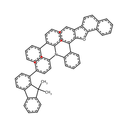 CC1(C)c2ccccc2-c2cccc(-c3ccc(N(c4ccccc4-c4ccccc4)c4ccccc4-c4cccc5c4oc4c6ccccc6ccc54)cc3)c21